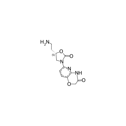 NCC[C@H]1CN(c2ccc3c(n2)NC(=O)CO3)C(=O)O1